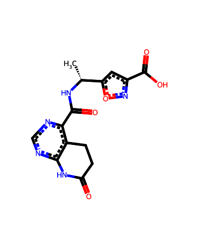 C[C@@H](NC(=O)c1ncnc2c1CCC(=O)N2)c1cc(C(=O)O)no1